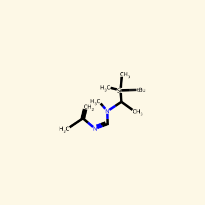 C=C(C)/N=C\N(C)C(C)[Si](C)(C)C(C)(C)C